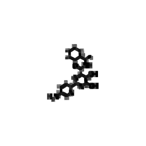 C[C@@H](NC(=O)c1nc(-c2ccc(N)cn2)nc(O)c1O)C1CCCCC1